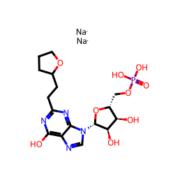 O=P(O)(O)OC[C@H]1O[C@@H](n2cnc3c(O)nc(CCC4CCCO4)nc32)[C@H](O)[C@@H]1O.[Na].[Na]